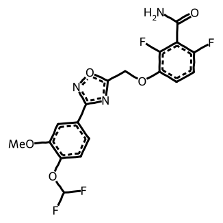 COc1cc(-c2noc(COc3ccc(F)c(C(N)=O)c3F)n2)ccc1OC(F)F